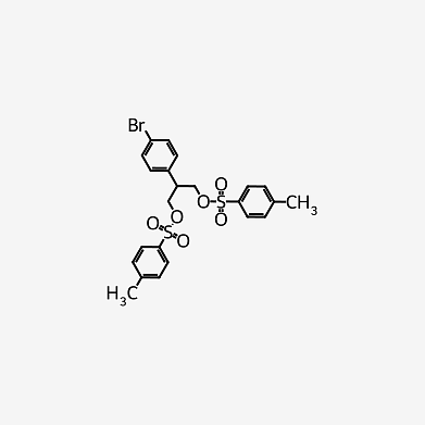 Cc1ccc(S(=O)(=O)OCC(COS(=O)(=O)c2ccc(C)cc2)c2ccc(Br)cc2)cc1